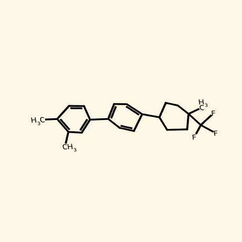 Cc1ccc(-c2ccc(C3CCC(C)(C(F)(F)F)CC3)cc2)cc1C